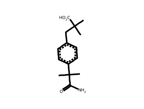 CC(C)(Cc1ccc(C(C)(C)C(N)=O)cc1)C(=O)O